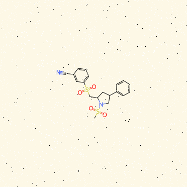 CS(=O)(=O)N1CC(c2ccccc2)CC1CS(=O)(=O)c1cccc(C#N)c1